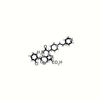 NC(=O)C(C1CCN(CCc2ccncc2)CC1)n1nc(C(=O)O)c(Br)c1NC(=O)c1ccccc1Cl